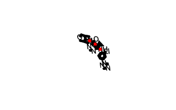 Cc1c(Nc2ccc(-n3cncn3)cc2Cl)ncnc1OC1C2COCC1CN(C(=O)OC1(C)CC1)C2